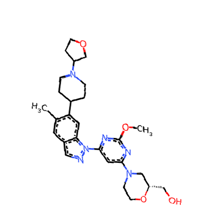 COc1nc(N2CCO[C@@H](CO)C2)cc(-n2ncc3cc(C)c(C4CCN(C5CCOC5)CC4)cc32)n1